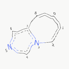 C1=C=Cn2cncc2C=1